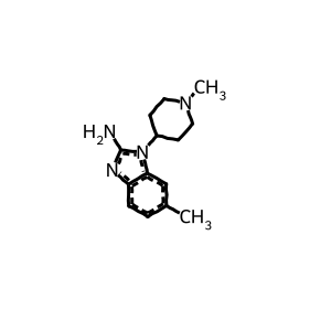 Cc1ccc2nc(N)n(C3CCN(C)CC3)c2c1